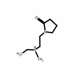 CC[SH](C)CCN1CCCC1=O